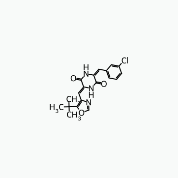 CC(C)(C)c1ocnc1C=c1[nH]c(=O)c(=Cc2cccc(Cl)c2)[nH]c1=O